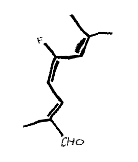 CC(C)=C/C(F)=C\C=C(/C)C=O